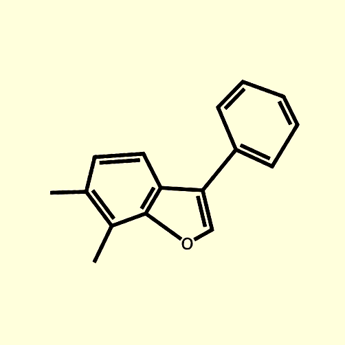 Cc1ccc2c(-c3ccccc3)coc2c1C